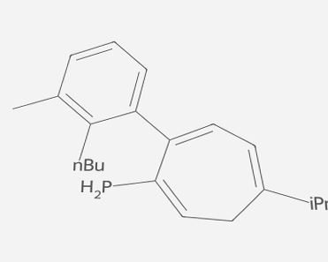 CCCCc1c(C)cccc1C1=CC=C(C(C)C)CC=C1P